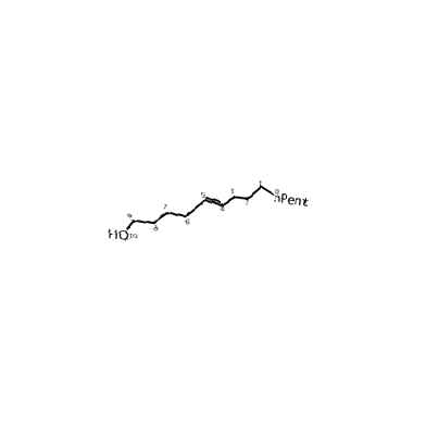 CCCCCCCC/C=C/CCCCO